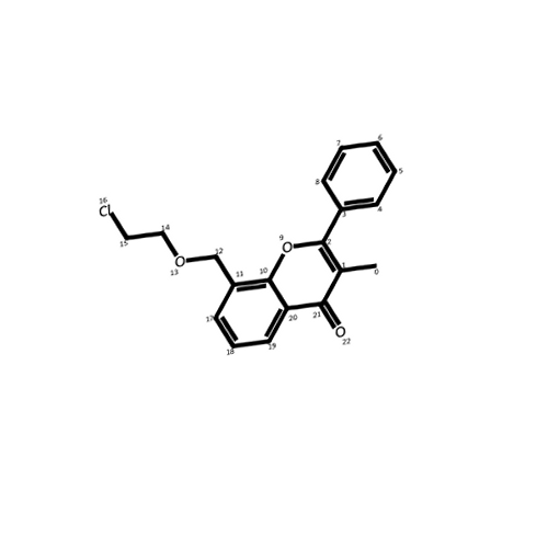 Cc1c(-c2ccccc2)oc2c(COCCCl)cccc2c1=O